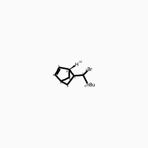 CCCCC(Br)C1CC2C=C[C@H]1C2